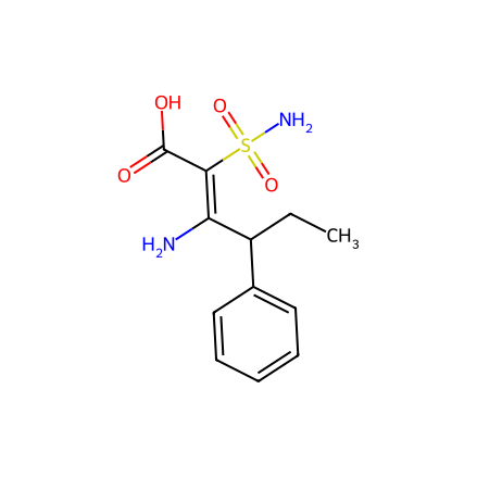 CCC(/C(N)=C(/C(=O)O)S(N)(=O)=O)c1ccccc1